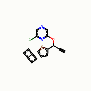 C#CC(Oc1cncc(Cl)n1)c1cccs1.c1cc2ccc1-2